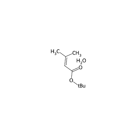 CC(C)=CC(=O)OC(C)(C)C.O